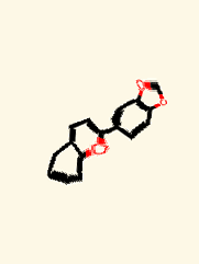 C1=CCC2=CC=C(c3ccc4c(c3)OCO4)OC2=C1